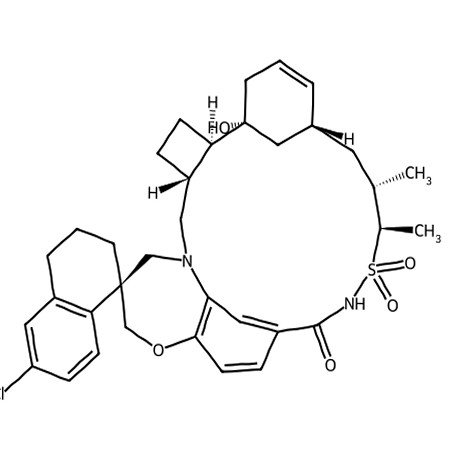 C[C@@H]1[C@@H](C)C[C@H]2C=CC[C@@](O)(C2)[C@@H]2CC[C@H]2CN2C[C@@]3(CCCc4cc(Cl)ccc43)COc3ccc(cc32)C(=O)NS1(=O)=O